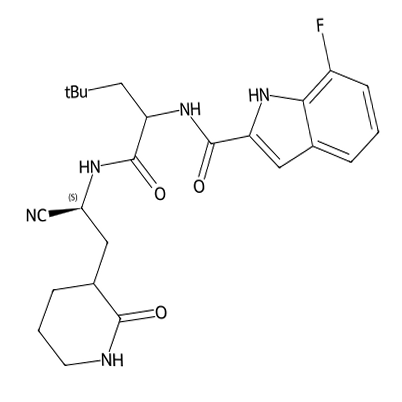 CC(C)(C)CC(NC(=O)c1cc2cccc(F)c2[nH]1)C(=O)N[C@H](C#N)CC1CCCNC1=O